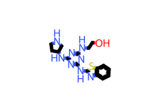 OCCNc1nc(Nc2nc3ccccc3s2)nc(NC2CCNC2)n1